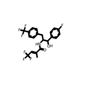 CC(=CC(F)(F)F)C(=O)NC(Cc1ccc(C(F)(F)F)cc1)C(O)c1ccc(F)cc1